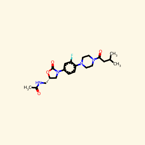 CC(=O)NC[C@H]1CN(c2ccc(N3CCN(C(=O)CC(C)C)CC3)c(F)c2)C(=O)O1